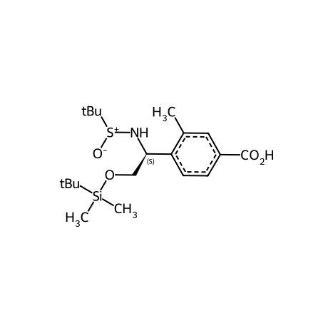 Cc1cc(C(=O)O)ccc1[C@@H](CO[Si](C)(C)C(C)(C)C)N[S+]([O-])C(C)(C)C